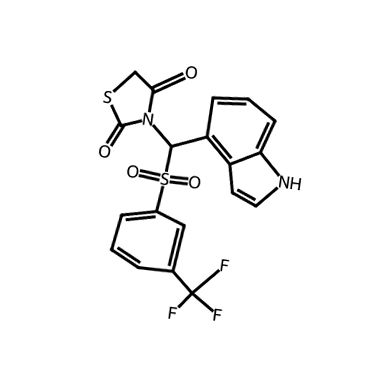 O=C1CSC(=O)N1C(c1cccc2[nH]ccc12)S(=O)(=O)c1cccc(C(F)(F)F)c1